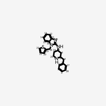 c1ccc(CC2CC(Nc3nc4ccccc4n3Cc3cccs3)CCN2)cc1